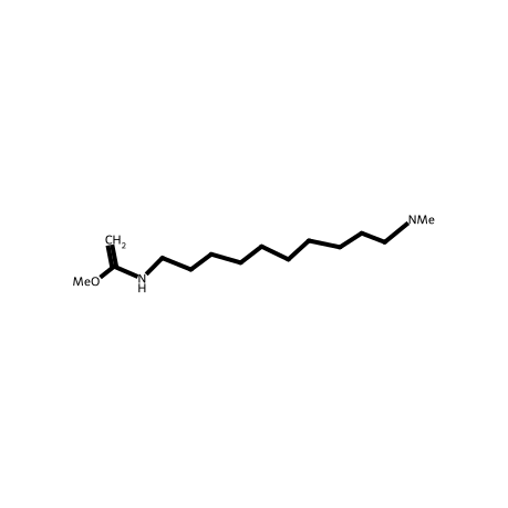 C=C(NCCCCCCCCCCNC)OC